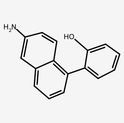 Nc1ccc2c(-c3ccccc3O)cccc2c1